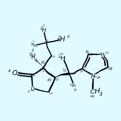 [2H]C([2H])([2H])C[C@]1([2H])C(=O)OC[C@@H]1C([2H])([2H])c1cncn1C